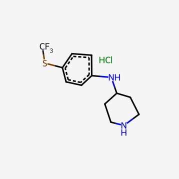 Cl.FC(F)(F)Sc1ccc(NC2CCNCC2)cc1